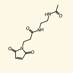 CC(=O)NCCNC(=O)CCN1C(=O)C=CC1=O